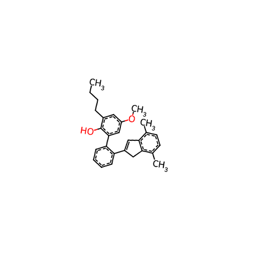 CCCCc1cc(OC)cc(-c2ccccc2C2=Cc3c(C)ccc(C)c3C2)c1O